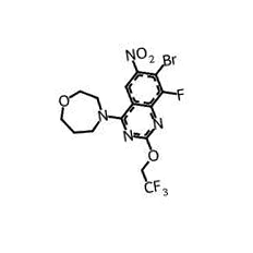 O=[N+]([O-])c1cc2c(N3CCCOCC3)nc(OCC(F)(F)F)nc2c(F)c1Br